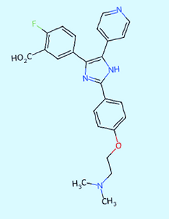 CN(C)CCOc1ccc(-c2nc(-c3ccc(F)c(C(=O)O)c3)c(-c3ccncc3)[nH]2)cc1